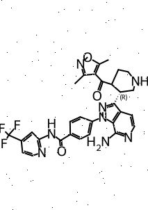 Cc1noc(C)c1C(=O)C1CCNC[C@@H]1c1nn(-c2ccc(C(=O)Nc3cc(C(F)(F)F)ccn3)cc2)c2c(N)nccc12